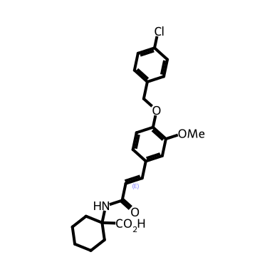 COc1cc(/C=C/C(=O)NC2(C(=O)O)CCCCC2)ccc1OCc1ccc(Cl)cc1